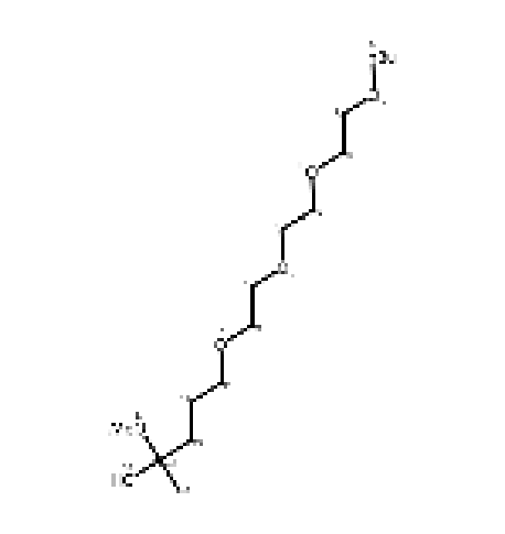 CCCCOCCOCCOCCOCCCC(C)(O)OC